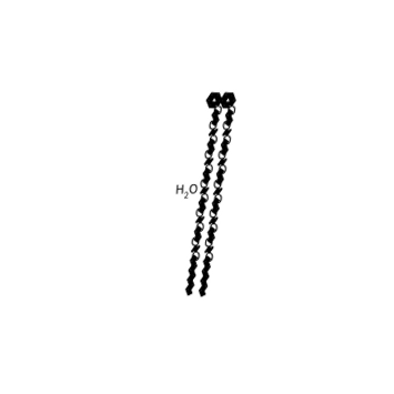 CCCCCCCCOCCOCCOCCOCCOCCOCCOCCOCCOCCOCCOc1ccccc1.CCCCCCCCOCCOCCOCCOCCOCCOCCOCCOCCOCCOCCOc1ccccc1.O